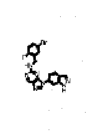 Fc1ccc(Br)cc1CNc1ncc2ncn(-c3ccc4cn[nH]c4c3)c2n1